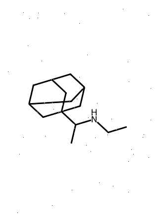 CCNC(C)C12CC3CC(CC(C3)C1)C2